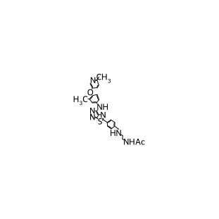 CC(=O)NCCNCc1ccc(-c2nc3c(Nc4ccc(Oc5ccc(C)nc5)c(C)c4)ncnc3s2)cc1